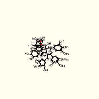 O=C(OC(C(=O)c1cc(O)c(O)c(O)c1)(C(=O)c1cc(O)c(O)c(O)c1)[C@@](OC(=O)c1cc(O)c(O)c(O)c1)(C(=O)c1cc(O)c(O)c(O)c1)C(O)(C(=O)c1cc(O)c(O)c(O)c1)C(O)C(O)CO)c1cc(O)c(O)c(O)c1